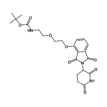 CC(C)(C)OC(=O)NCCOCCOc1cccc2c1C(=O)N(C1CCC(=O)NC1=O)C2=O